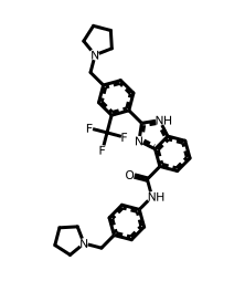 O=C(Nc1ccc(CN2CCCC2)cc1)c1cccc2[nH]c(-c3ccc(CN4CCCC4)cc3C(F)(F)F)nc12